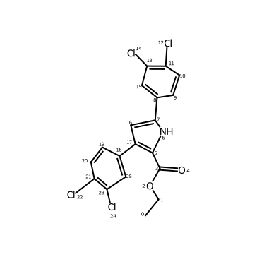 CCOC(=O)c1[nH]c(-c2ccc(Cl)c(Cl)c2)cc1-c1ccc(Cl)c(Cl)c1